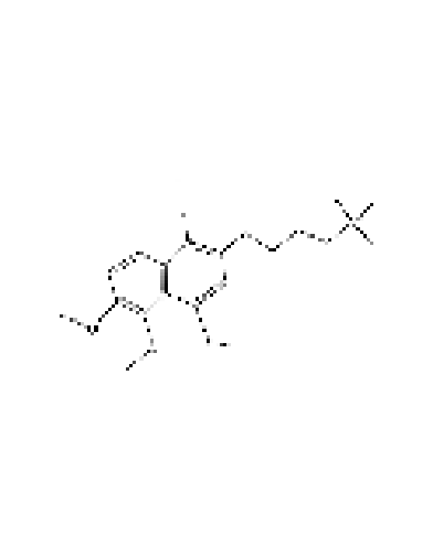 COc1ccc2c(c(SC)nc(CCCC[N+](C)(C)C)[n+]2C)c1OC.[I-].[I-]